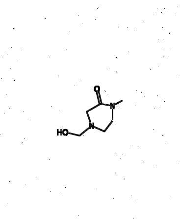 CN1CCN(CO)CC1=O